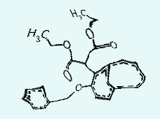 CCOC(=O)C(C(=O)OCC)c1c(OCc2ccccc2)ccc2ccccc12